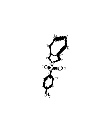 Cc1ccc(S(=O)(=O)N2CC3=CC=CCC3C2)cc1